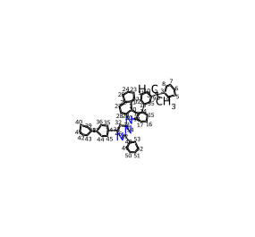 CC(C)(c1ccccc1)c1cccc(-c2cccc3c2c2c4ccccc4ccc2n3-c2cc(-c3ccc(-c4ccccc4)cc3)nc(-c3ccccc3)n2)c1